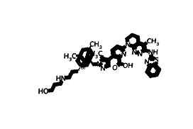 Cc1c(Nc2nc3ccccc3s2)nnc2c1CCCN2c1ccc(-c2cnn(C[C@]34C[C@@]5(C)C[C@](C)(C[C@](CCCNCCCO)(C5)C3)C4)c2C)c(C(=O)O)n1